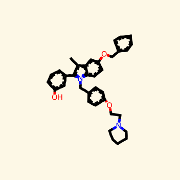 Cc1c(-c2cccc(O)c2)n(Cc2ccc(OCCN3CCCCC3)cc2)c2ccc(OCc3ccccc3)cc12